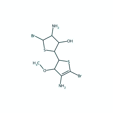 COC1C(N)=C(Br)SC1C1SC(Br)C(N)C1O